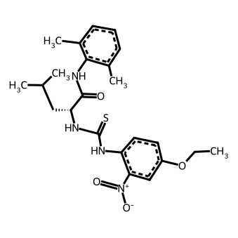 CCOc1ccc(NC(=S)N[C@H](CC(C)C)C(=O)Nc2c(C)cccc2C)c([N+](=O)[O-])c1